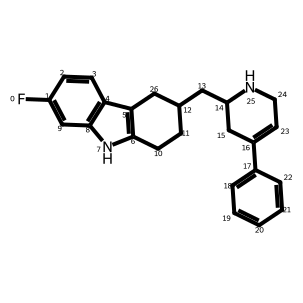 Fc1ccc2c3c([nH]c2c1)CCC(CC1CC(c2ccccc2)=CCN1)C3